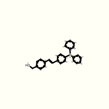 OCc1ccc(/C=C/c2ccc(N(c3ccccc3)c3ccccc3)cc2)cc1